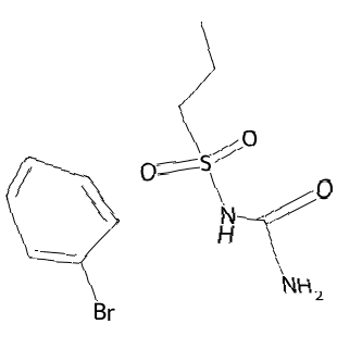 Brc1ccccc1.CCCS(=O)(=O)NC(N)=O